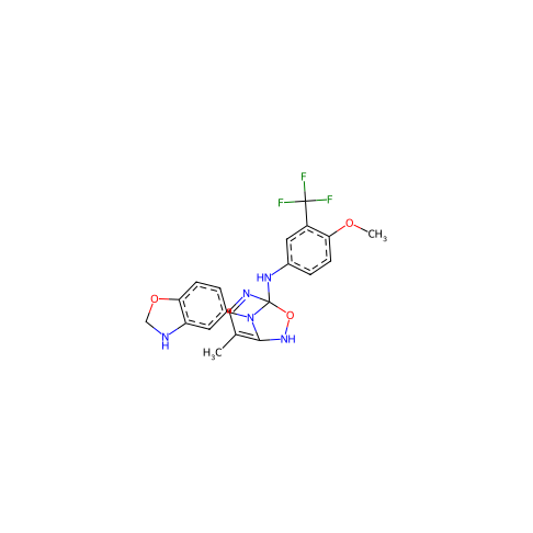 COc1ccc(NC23N=CC(C)=C(NO2)N3c2ccc3c(c2)NCO3)cc1C(F)(F)F